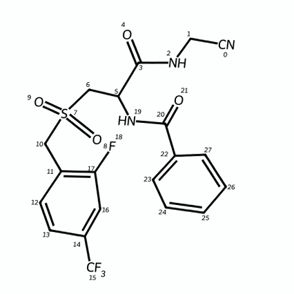 N#CCNC(=O)C(CS(=O)(=O)Cc1ccc(C(F)(F)F)cc1F)NC(=O)c1ccccc1